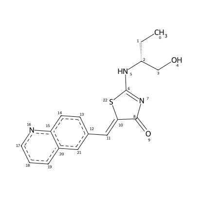 CC[C@H](CO)NC1=NC(=O)/C(=C/c2ccc3ncccc3c2)S1